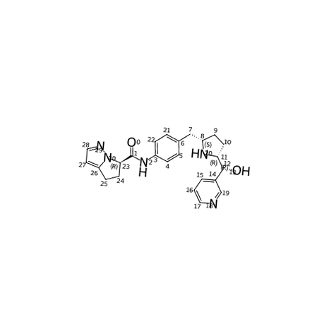 O=C(Nc1ccc(C[C@@H]2CC[C@H]([C@H](O)c3cccnc3)N2)cc1)[C@H]1CCc2ccnn21